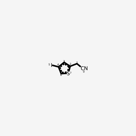 N#CCc1cc(I)cs1